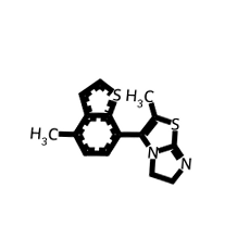 CC1=C(c2ccc(C)c3ccsc23)N2CCN=C2S1